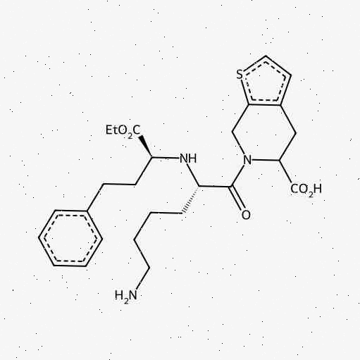 CCOC(=O)[C@H](CCc1ccccc1)N[C@@H](CCCCN)C(=O)N1Cc2sccc2CC1C(=O)O